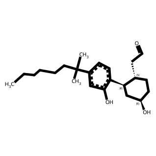 CCCCCCC(C)(C)c1ccc([C@@H]2C[C@H](O)CC[C@H]2CC=O)c(O)c1